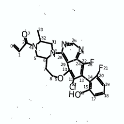 C=CC(=O)N1CC2CCOc3c(Cl)c(-c4c(O)cccc4F)c(F)c4ncnc(c34)N2CC1C